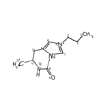 CCC[n+]1cc2n(c1)C(=O)NC(C)C2